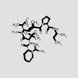 CC[C@@H](C)NC(=O)[C@@H]1CCCN1C(=O)/C(C)=C/[C@H](C(C)C)N(C)C(=O)[C@@H](NC(=O)[C@H]1CCCCN1C(C)C)C(C)(C)C